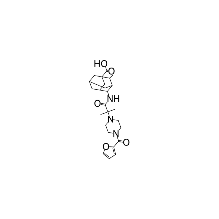 CC1C2CC3CC(CC1(C(=O)O)C3)C2NC(=O)C(C)(C)N1CCN(C(=O)c2ccco2)CC1